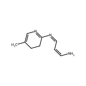 CC1=CN=C(/N=C\C=C/N)CC1